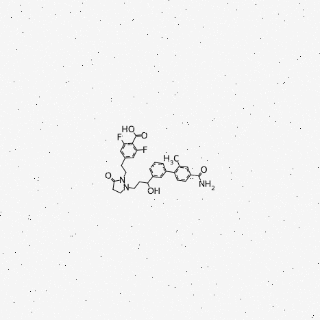 Cc1cc(C(N)=O)ccc1-c1cccc(C(O)CCN2CCC(=O)N2CCc2cc(F)c(C(=O)O)c(F)c2)c1